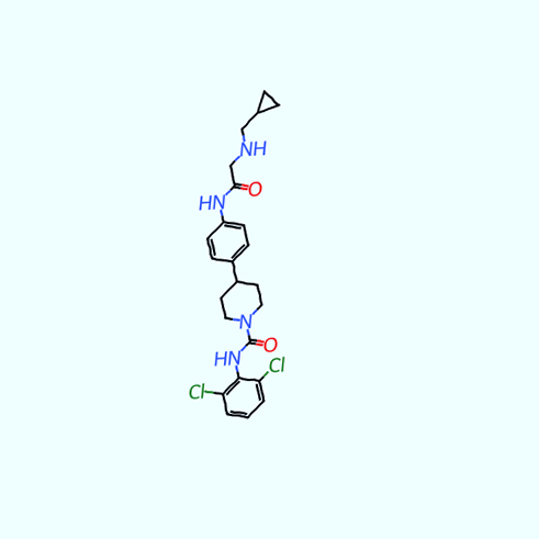 O=C(CNCC1CC1)Nc1ccc(C2CCN(C(=O)Nc3c(Cl)cccc3Cl)CC2)cc1